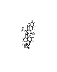 CC(C)(C)NS(=O)(=O)c1cccc2c(NC(=O)[C@H](Cc3ccccc3)NC(=O)C3CC3)cccc12